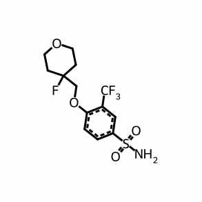 NS(=O)(=O)c1ccc(OCC2(F)CCOCC2)c(C(F)(F)F)c1